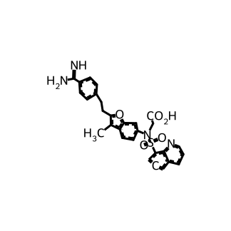 Cc1c(CCc2ccc(C(=N)N)cc2)oc2cc(N(CC(=O)O)S(=O)(=O)c3cccc4cccnc34)ccc12